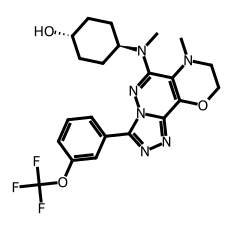 CN1CCOc2c1c(N(C)[C@H]1CC[C@H](O)CC1)nn1c(-c3cccc(OC(F)(F)F)c3)nnc21